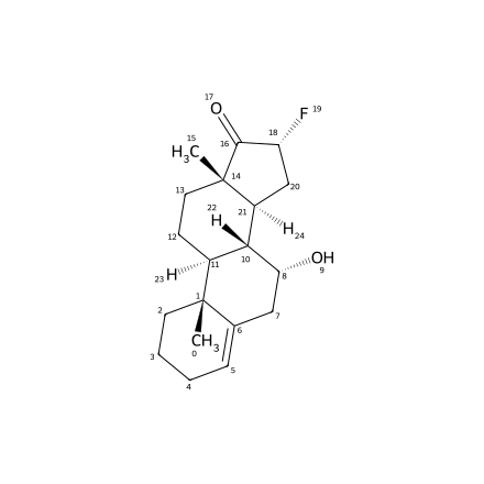 C[C@]12CCCC=C1C[C@@H](O)[C@@H]1[C@@H]2CC[C@]2(C)C(=O)[C@H](F)C[C@@H]12